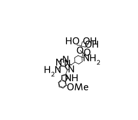 COc1cccc2cc(-c3nc(C4CCC(N)(C(=O)OC(CO)(CO)CO)CC4)n4ncnc(N)c34)[nH]c12